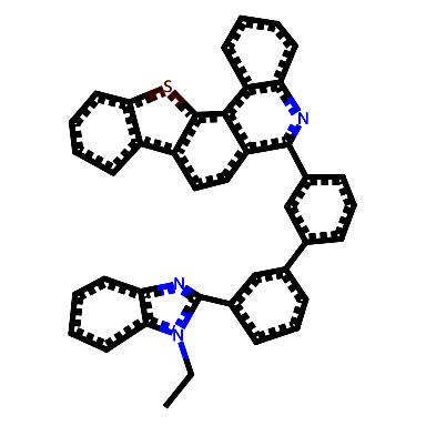 CCn1c(-c2cccc(-c3cccc(-c4nc5ccccc5c5c4ccc4c6ccccc6sc45)c3)c2)nc2ccccc21